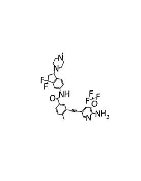 Cc1ccc(C(=O)Nc2ccc3c(c2)C(F)(F)CC3N2CCN(C)CC2)cc1C#Cc1cnc(N)c(OC(F)(F)F)c1